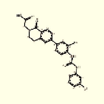 O=C(O)CC1CCc2cc(-c3ccc(NC(=O)Nc4cccc(Cl)c4)c(F)c3)ccc2C1=O